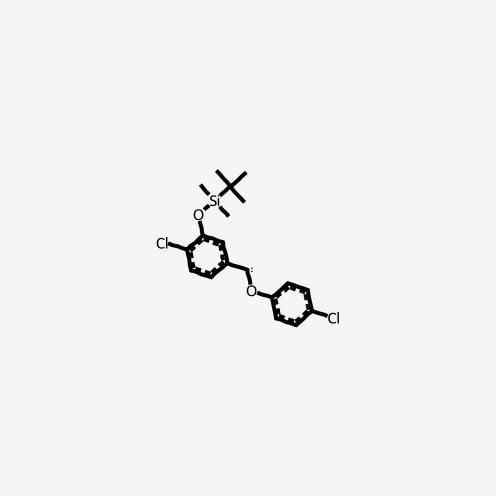 CC(C)(C)[Si](C)(C)Oc1cc([C]Oc2ccc(Cl)cc2)ccc1Cl